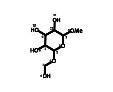 COC1OC(OCO)C(O)C(O)C1O